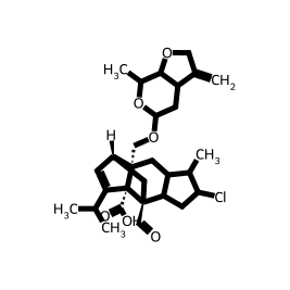 C=C1COC2C(C)OC(OC[C@@]34CC5C(C)C(Cl)CC5[C@@]5(C=O)C[C@@H]3C=C(C(C)C)[C@@]45C(=O)O)CC12